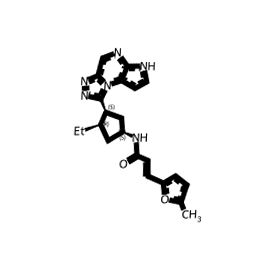 CC[C@@H]1C[C@H](NC(=O)C=Cc2ccc(C)o2)C[C@@H]1c1nnc2cnc3[nH]ccc3n12